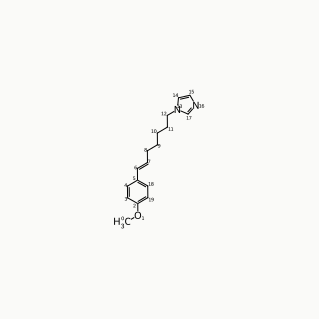 COc1ccc(C=CCCCCCn2ccnc2)cc1